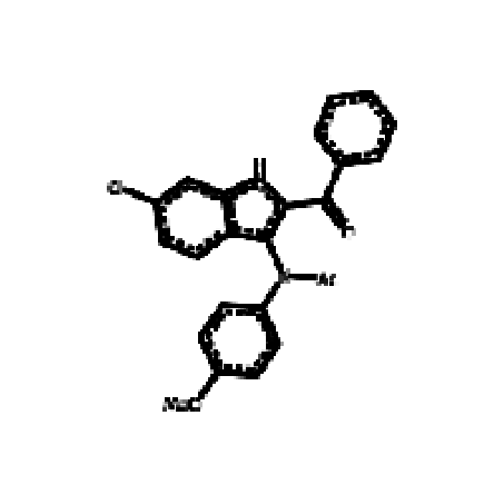 COc1ccc(N(C(C)=O)c2c(C(=O)c3ccccc3)[nH]c3cc(Cl)ccc23)cc1